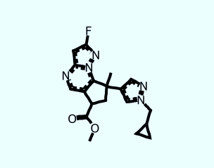 COC(=O)C1CC(C)(c2cnn(CC3CC3)c2)c2c1cnc1cc(F)nn21